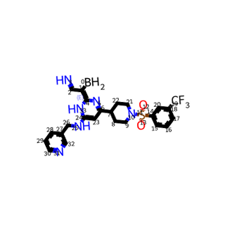 B/C(C=N)=C1\N=C(C2CCN(S(=O)(=O)c3cccc(C(F)(F)F)c3)CC2)C=C(NCc2cccnc2)N1